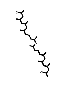 CC(Cl)CC(C)CC(C)CC(C)CCCC(C)OC(C)CCCC(C)CC(C)CC(C)CC(C)Cl